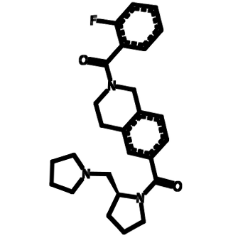 O=C(c1ccccc1F)N1CCc2cc(C(=O)N3CCC[C@H]3CN3CCCC3)ccc2C1